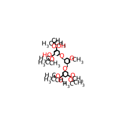 COC1=C[C@@H](CO[C@@H]2C=C(C(=O)OC(C)(C)C)CC(C(=O)OC(C)(C)C)C2)C[C@@H](CO[C@H]2CC(C(O)OC(C)(C)C)=C[C@@H]([C@@H](O)OC(C)(C)C)C2)C1